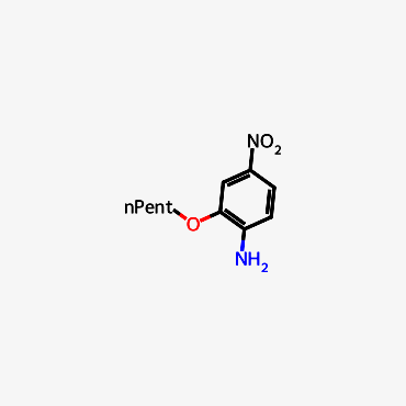 CCCCCOc1cc([N+](=O)[O-])ccc1N